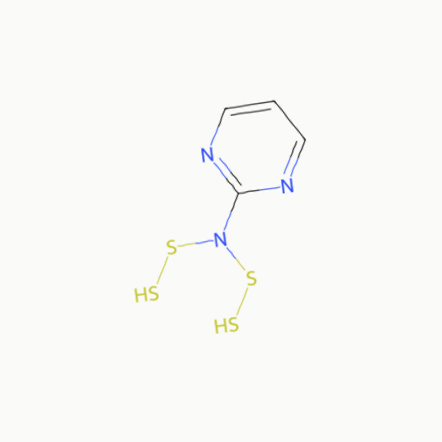 SSN(SS)c1ncccn1